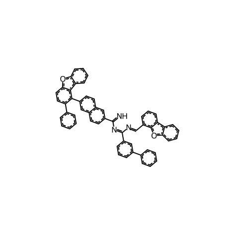 N=C(/N=C(\N=C\c1cccc2c1oc1ccccc12)c1cccc(-c2ccccc2)c1)c1ccc2cc(-c3c(-c4ccccc4)ccc4oc5ccccc5c34)ccc2c1